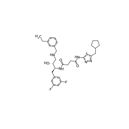 CCc1cccc(CNC[C@@H](O)[C@H](Cc2cc(F)cc(F)c2)NC(=O)CCC(=O)Nc2nnc(CC3CCCC3)s2)c1